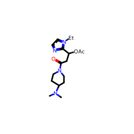 CCn1ccnc1C(CC(=O)N1CCC(N(C)C)CC1)OC(C)=O